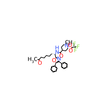 CC(=O)CCCCC[C@H](NC(=O)C1CC[N+](C)(OC(=O)C(F)(F)F)CC1)c1nc(-c2ccccc2)c(-c2ccccc2)o1